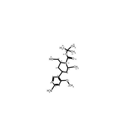 COc1cc(N)ncc1C1CC(C)N(C(=O)OC(C)(C)C)C(CO)C1